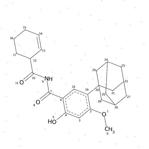 COc1cc(O)c(C(=O)NC(=O)C2C=CCCC2)cc1C12CC3CC(CC(C3)C1)C2